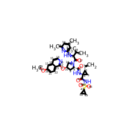 C=C[C@@H]1C[C@]1(NC(=O)[C@@H]1C[C@@H](Oc2nccc3cc(OC)ccc23)CN1C(=O)C(Nc1cc(C)cc(C)n1)C(C)C)C(=O)NS(=O)(=O)C1CC1